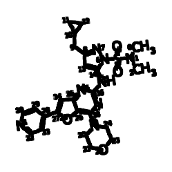 CN(C)S(=O)(=O)n1nc(CC2CC2)cc1Nc1nc(N2CCOCC2)c2oc(-c3ccncc3)cc2n1